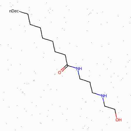 CCCCCCCCCCCCCCCCCC(=O)NCCCNCCO